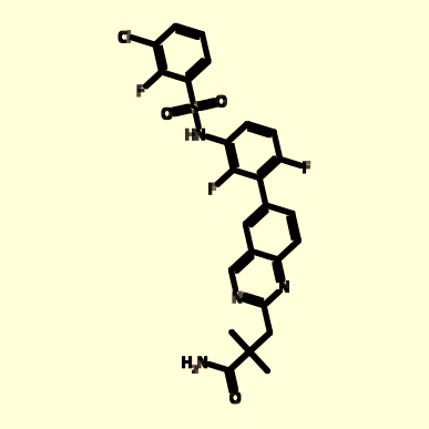 CC(C)(Cc1ncc2cc(-c3c(F)ccc(NS(=O)(=O)c4cccc(Cl)c4F)c3F)ccc2n1)C(N)=O